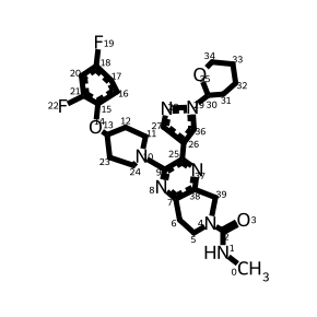 CNC(=O)N1CCc2nc(N3CCC(Oc4ccc(F)cc4F)CC3)c(-c3cnn(C4CCCCO4)c3)nc2C1